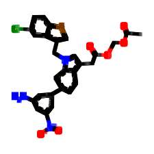 CC(=O)OCOC(=O)Cc1cn(Cc2csc3ccc(Cl)cc23)c2cc(-c3cc(N)cc([N+](=O)[O-])c3)ccc12